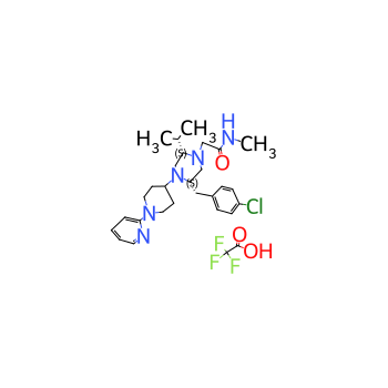 CNC(=O)CN1C[C@H](Cc2ccc(Cl)cc2)N(C2CCN(c3ccccn3)CC2)C[C@@H]1C(C)C.O=C(O)C(F)(F)F